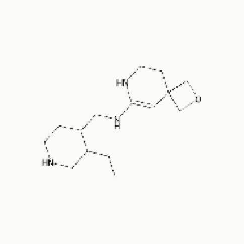 CCC1CNCCC1CNC1=CC2(CCN1)COC2